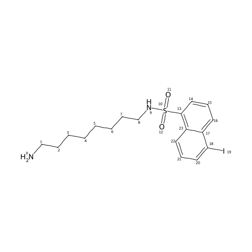 NCCCCCCCCNS(=O)(=O)c1cccc2c(I)cccc12